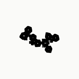 CC1(C)c2ccc(-c3nc(-c4ccccc4)nc(-c4cccc5c4sc4ccccc45)n3)cc2-c2ccc(-n3c4ccccc4c4cccnc43)cc21